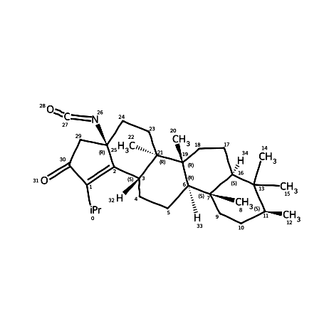 CC(C)C1=C2[C@H]3CC[C@@H]4[C@@]5(C)CC[C@H](C)C(C)(C)[C@@H]5CC[C@@]4(C)[C@]3(C)CC[C@@]2(N=C=O)CC1=O